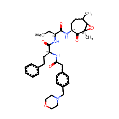 COC[C@H](NC(=O)[C@H](CCc1ccccc1)NC(=O)Cc1ccc(CN2CCOCC2)cc1)C(=O)N[C@H]1CCC(C)C2O[C@@]2(C)C1=O